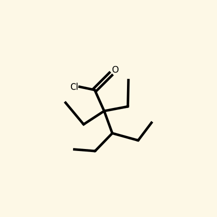 CCC(CC)C(CC)(CC)C(=O)Cl